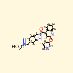 O=C(O)NCC1CCC(CNC(=O)c2cc(Oc3cccnc3)nc3ccccc23)CC1